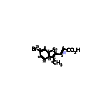 Cc1c(/C=C/C(=O)O)sc2cc(Br)ccc12